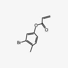 C=CC(=O)Oc1ccc(C)c(Br)c1